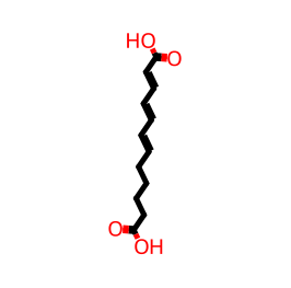 O=C(O)C=CC=CC=CCCCCC(=O)O